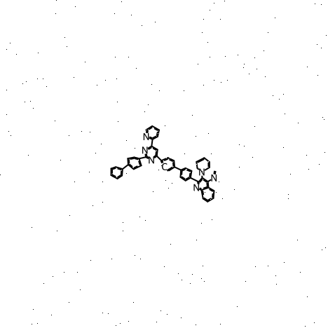 C=Nc1c(N2C=CC=CC2)c(-c2ccc(-c3ccc(-c4cc(-c5ccccn5)nc(-c5ccc(-c6ccccc6)cc5)n4)cc3)cc2)nc2ccccc12